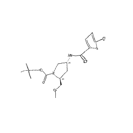 COC[C@@H]1C[C@@H](NC(=O)c2ccc(Cl)s2)CN1C(=O)OC(C)(C)C